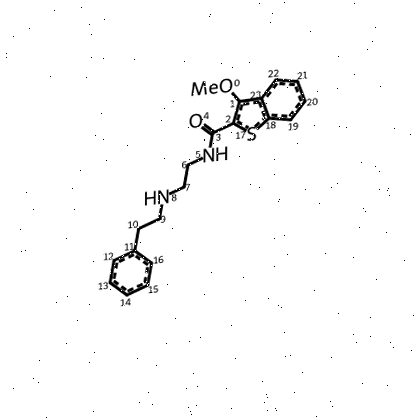 COc1c(C(=O)NCCNCCc2ccccc2)sc2ccccc12